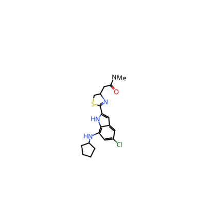 CNC(=O)CC1CSC(c2cc3cc(Cl)cc(NC4CCCC4)c3[nH]2)=N1